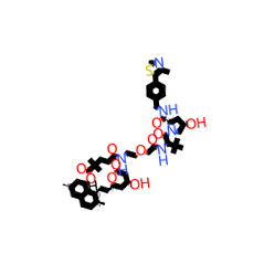 Cc1ncsc1-c1ccc(CNC(=O)[C@@H]2C[C@@H](O)CN2C(=O)C(NC(=O)COCCNC(=O)CCC(C)(C)C(=O)O[C@H]2C[C@@H](C)C=C3C=C[C@H](C)[C@H](CC[C@@H]4C[C@@H](O)CC(=O)O4)[C@H]32)C(C)(C)C)cc1